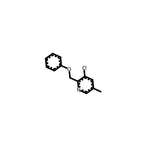 Cc1cnc(COc2[c]cccc2)c(Cl)c1